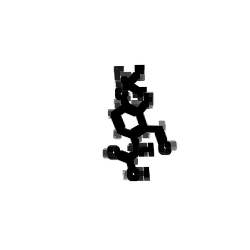 O=Cc1c(NC(=O)O)ccc(OC(F)(F)F)c1F